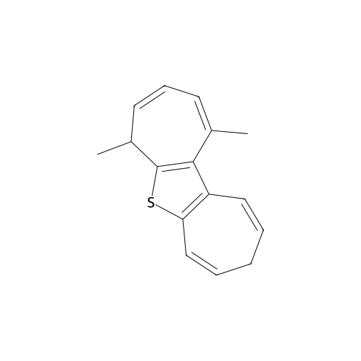 CC1=CC=CC(C)c2sc3c(c21)C=CCC=C3